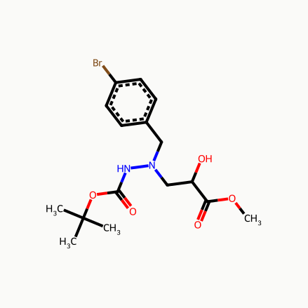 COC(=O)C(O)CN(Cc1ccc(Br)cc1)NC(=O)OC(C)(C)C